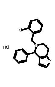 Cl.Clc1ccccc1CN1CCc2sccc2C1c1ccccc1